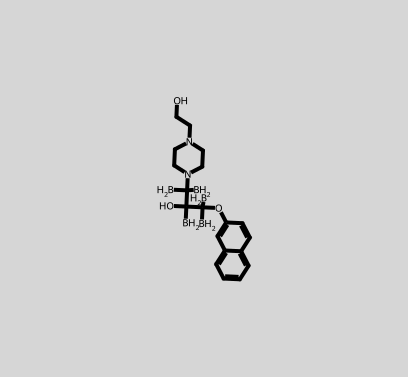 BC(B)(Oc1ccc2ccccc2c1)C(B)(O)C(B)(B)N1CCN(CCO)CC1